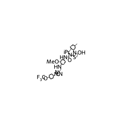 COc1cc(NC(=O)/N=C2\SCC(O)N2c2cc(C)ccc2C(C)C)ccc1NCc1ncn(-c2ccc(OC(F)(F)F)cc2)n1